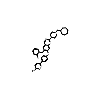 CC(C)c1ccc(-c2ccc(Oc3cc4nc(C5CCN(CC6CCCCCC6)CC5)ncc4cc3Cn3ccccc3=O)cc2)nn1